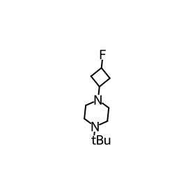 CC(C)(C)N1CCN(C2CC(F)C2)CC1